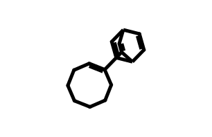 C1=CC2C=CC1C=C2C1=CCCCCCC1